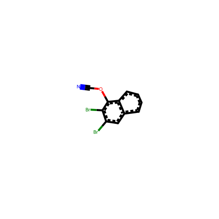 N#COc1c(Br)c(Br)cc2ccccc12